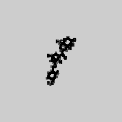 C[C@]12CCN(C(=O)N3C[C@@H]4C[C@H](OCc5ccc(C(F)(F)F)cc5F)[C@H]3C4)C[C@H]1NC(=O)CO2